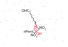 CCCCCC([N+](=O)[O-])C(O)(O)CC(CCC=CCCCCCCC=O)[N+](=O)[O-]